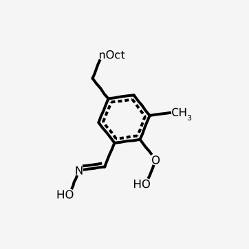 CCCCCCCCCc1cc(C)c(OO)c(C=NO)c1